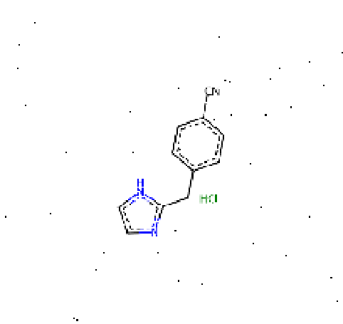 Cl.N#Cc1ccc(Cc2ncc[nH]2)cc1